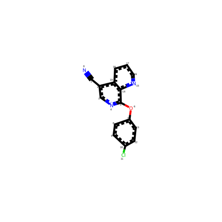 N#Cc1cnc(Oc2ccc(Cl)cc2)c2ncccc12